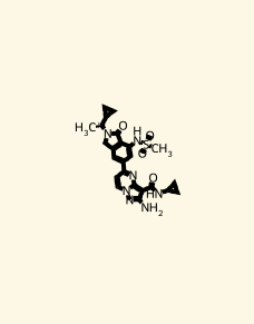 C[C@@H](C1CC1)N1Cc2cc(-c3ccn4nc(N)c(C(=O)NC5CC5)c4n3)cc(NS(C)(=O)=O)c2C1=O